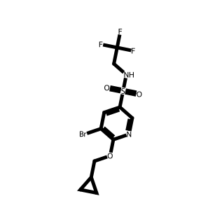 O=S(=O)(NCC(F)(F)F)c1cnc(OCC2CC2)c(Br)c1